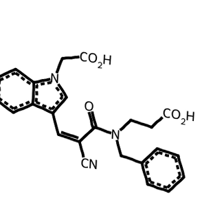 N#CC(=Cc1cn(CC(=O)O)c2ccccc12)C(=O)N(CCC(=O)O)Cc1ccccc1